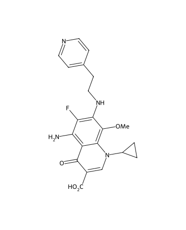 COc1c(NCCc2ccncc2)c(F)c(N)c2c(=O)c(C(=O)O)cn(C3CC3)c12